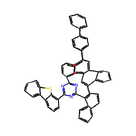 c1ccc(-c2ccc(-c3ccc4cc(-c5ccc6ccccc6c5-c5nc(-c6ccccc6)nc(-c6cccc7c6sc6ccccc67)n5)c5ccccc5c4c3)cc2)cc1